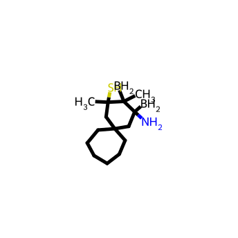 BC1(N)CC2(CCCCCC2)CC(C)(S)C1(B)C